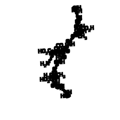 Cc1cc(OCCCC(=O)NCCNC(=O)CCC(NC(=O)[C@H](CCC(=O)O)NC(=O)[C@H](CCC(=O)O)NC(=O)CCCCCN)C(=O)NCCNC(=O)CCCOc2cc(C)c(S(=O)(=O)N[C@@H](CNC(=O)c3ccc4c(cnn4CCCNc4ncc[nH]4)c3)C(=O)O)c(C)c2)cc(C)c1S(=O)(=O)N[C@@H](CNC(=O)c1ccc2c(cnn2CCCNc2ncc[nH]2)c1)C(=O)O